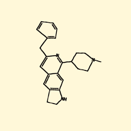 CN1CCC(c2nc(Cc3ccccc3)cc3cc4c(cc23)NCC4)CC1